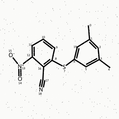 Cc1cc(C)cc(Sc2cccc([N+](=O)[O-])c2C#N)c1